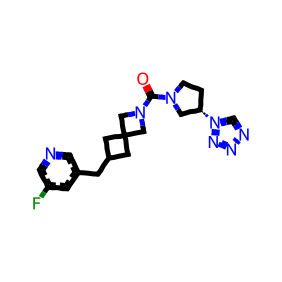 O=C(N1CC[C@H](n2cnnn2)C1)N1CC2(CC(Cc3cncc(F)c3)C2)C1